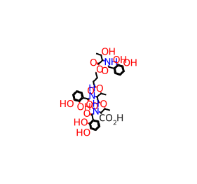 CC(O)C(NC(=O)c1cccc(O)c1O)C(=O)OCCCC(=O)OC(C)C(NC(=O)c1cccc(O)c1O)C(=O)OC(C)C(NC(=O)c1cccc(O)c1O)C(=O)O